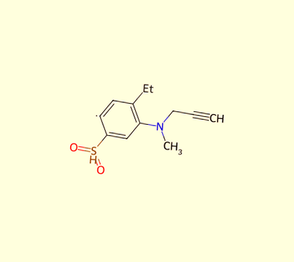 C#CCN(C)c1cc([SH](=O)=O)[c]cc1CC